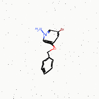 N[n+]1cc(Br)cc(OCc2ccccc2)c1